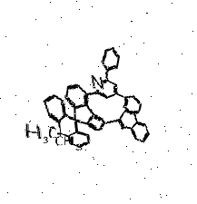 CC1(C)c2ccccc2C2(c3ccc(-c4ccc5ccccc5c4)cc3-c3c(-c4cc(-c5ccccc5)cc(-c5ccccc5)n4)cccc32)c2ccccc21